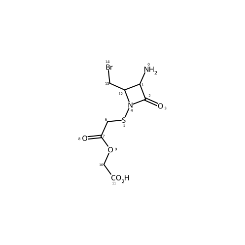 NC1C(=O)N(SCC(=O)OCC(=O)O)C1CBr